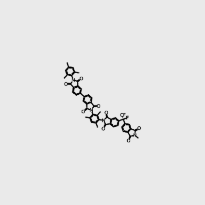 Cc1cc(C)c(N2C(=O)c3ccc(-c4ccc5c(c4)C(=O)N(c4c(C)cc(C)c(N6C(=O)c7ccc([C@@](F)(c8ccc9c(c8)C(=O)N(C)C9=O)C(F)(F)F)cc7C6=O)c4C)C5=O)cc3C2=O)c(C)c1